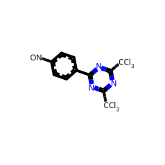 O=Nc1ccc(-c2nc(C(Cl)(Cl)Cl)nc(C(Cl)(Cl)Cl)n2)cc1